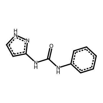 O=C(Nc1ccccc1)Nc1cc[nH]n1